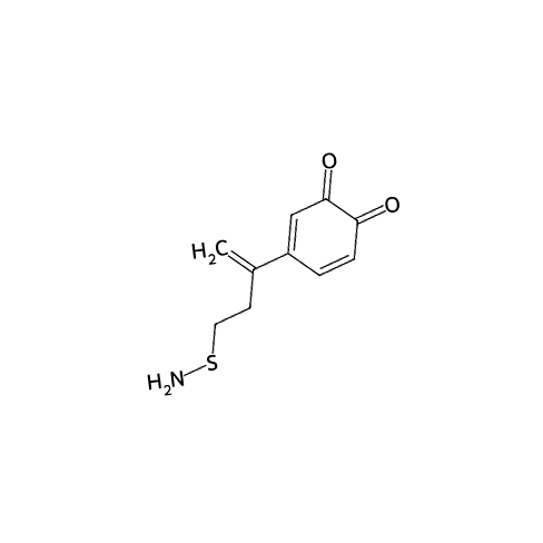 C=C(CCSN)C1=CC(=O)C(=O)C=C1